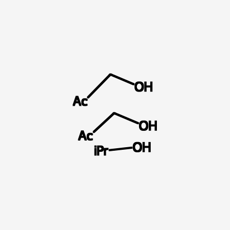 CC(=O)CO.CC(=O)CO.CC(C)O